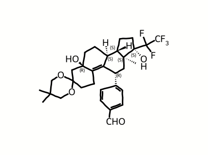 CC1(C)COC2(CCC3=C4[C@@H](CC[C@@]3(O)C2)[C@@H]2CC[C@@](O)(C(F)(F)C(F)(F)F)[C@@]2(C)C[C@@H]4c2ccc(C=O)cc2)OC1